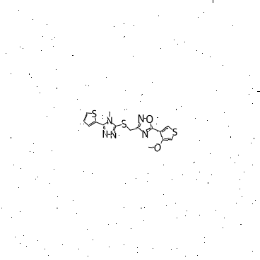 COc1cscc1-c1nc(CSc2nnc(-c3cccs3)n2C)no1